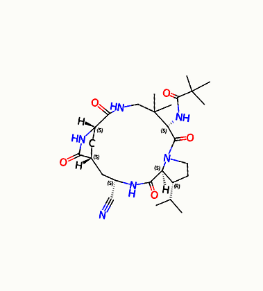 CC(C)[C@H]1CCN2C(=O)[C@@H](NC(=O)C(C)(C)C)C(C)(C)CNC(=O)[C@@H]3C[C@H](C[C@@H](C#N)NC(=O)[C@H]12)C(=O)N3